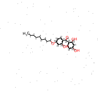 CCCCCCCCCOc1ccc(C(=O)c2ccc(O)cc2O)c(O)c1